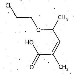 CC(=CC(C)OCCCl)C(=O)O